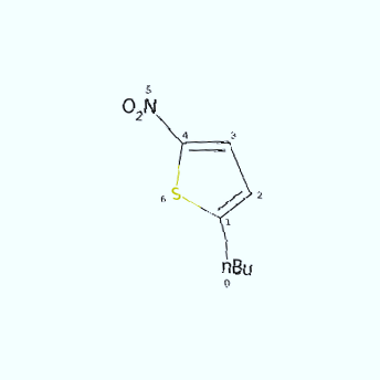 CCCCc1ccc([N+](=O)[O-])s1